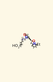 CCc1cccc(CC(=O)C#C[C@H]2CC(=O)N2C/C=C\CCCC(=O)O)n1